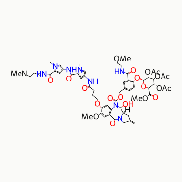 C=C1C[C@H]2C(O)N(C(=O)OCc3ccc(O[C@@H]4O[C@H](C(=O)OC)[C@@H](OC(C)=O)[C@H](OC(C)=O)[C@H]4OC(C)=O)c(C(=O)NCCOC)c3)c3cc(OCCCC(=O)Nc4cc(C(=O)Nc5cc(C(=O)NCCCNC)n(C)c5)n(C)c4)c(OC)cc3C(=O)N2C1